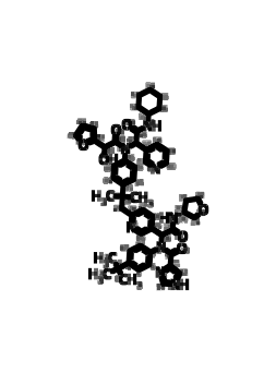 CC(C)(C)c1ccc(N(C(=O)c2c[nH]cn2)C(C(=O)N[C@@H]2CCOC2)c2ccc(CC(C)(C)c3ccc(N(C(=O)C(O)c4ccco4)C(C(=O)NC4CCCCC4)c4cccnc4)cc3)nc2)cc1